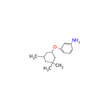 CC1CC(Oc2cccc(N)c2)CC(C)(C)C1